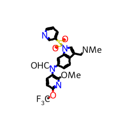 CNCc1cn(S(=O)(=O)c2cccnc2)c2cc(N(C=O)c3ccc(OC(F)(F)F)nc3OC)ccc12